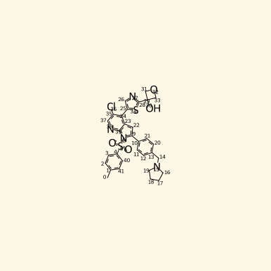 Cc1ccc(S(=O)(=O)n2c(-c3ccc(CN4CCCC4)cc3)cc3c(-c4cnc(C5(O)COC5)s4)c(Cl)cnc32)cc1